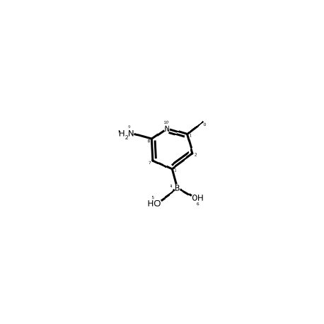 Cc1cc(B(O)O)cc(N)n1